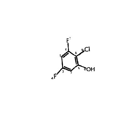 Oc1cc(F)cc(F)c1Cl